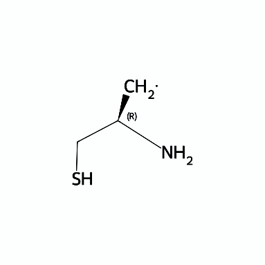 [CH2][C@@H](N)CS